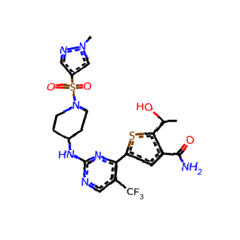 CC(O)c1sc(-c2nc(NC3CCN(S(=O)(=O)c4cnn(C)c4)CC3)ncc2C(F)(F)F)cc1C(N)=O